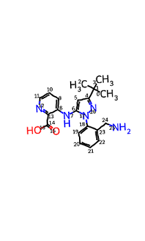 CC(C)(C)c1cc(Nc2cccnc2C(=O)O)n(-c2ccccc2CN)n1